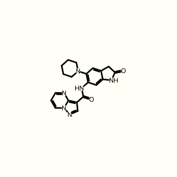 O=C1Cc2cc(N3CCCCC3)c(NC(=O)c3cnn4cccnc34)cc2N1